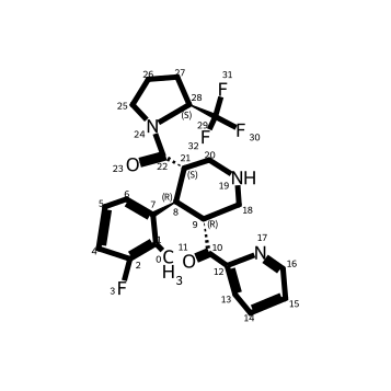 Cc1c(F)cccc1[C@@H]1[C@@H](C(=O)c2ccccn2)CNC[C@H]1C(=O)N1CCC[C@H]1C(F)(F)F